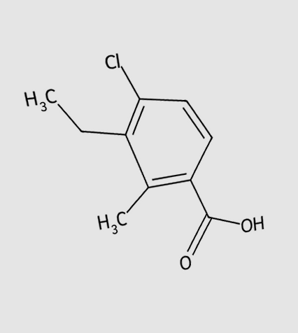 CCc1c(Cl)ccc(C(=O)O)c1C